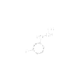 CNNc1cccc(F)c1